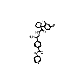 NC(CNC(=O)C1(c2ccc(F)cc2Cl)CCCC1)c1ccc(C(=O)Nc2ccncc2)cc1